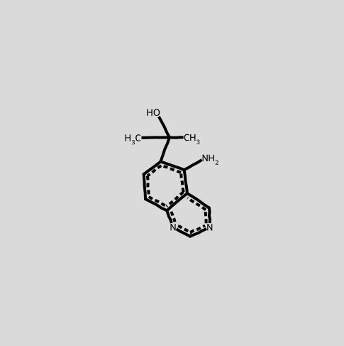 CC(C)(O)c1ccc2ncncc2c1N